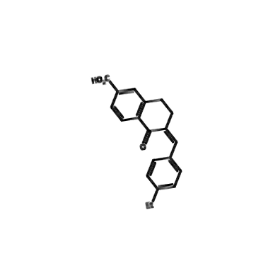 CCc1ccc(C=C2CCc3cc(C(=O)O)ccc3C2=O)cc1